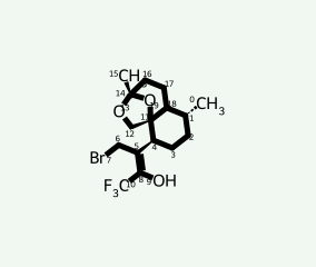 C[C@@H]1CC[C@@H](/C(CBr)=C(\O)C(F)(F)F)[C@@]23CO[C@](C)(CCC12)O3